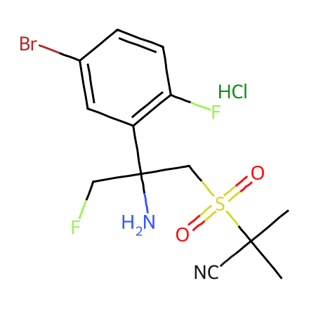 CC(C)(C#N)S(=O)(=O)CC(N)(CF)c1cc(Br)ccc1F.Cl